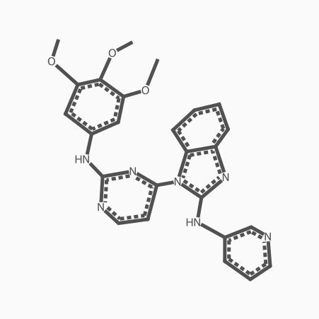 COc1cc(Nc2nccc(-n3c(Nc4cccnc4)nc4ccccc43)n2)cc(OC)c1OC